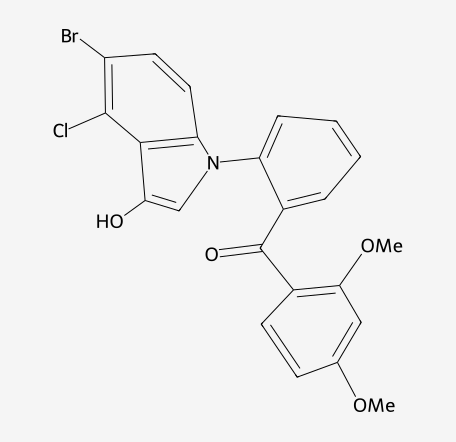 COc1ccc(C(=O)c2ccccc2-n2cc(O)c3c(Cl)c(Br)ccc32)c(OC)c1